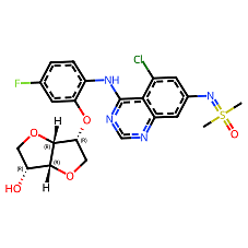 CS(C)(=O)=Nc1cc(Cl)c2c(Nc3ccc(F)cc3O[C@@H]3CO[C@H]4[C@@H]3OC[C@H]4O)ncnc2c1